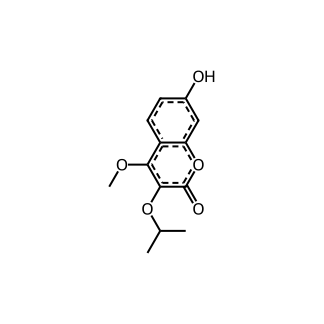 COc1c(OC(C)C)c(=O)oc2cc(O)ccc12